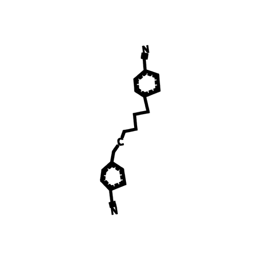 N#Cc1ccc(CCCCCCc2ccc(C#N)cc2)cc1